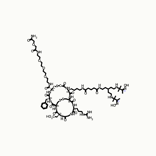 C/C(=N/O)C(C)(C)NCCC(CCNC(=O)CCCC(=O)NCCCC[C@@H]1NC(=O)CSC[C@@H](C(=O)NCCOCCOCCOCCNC(=O)COCC(N)=O)NC(=O)[C@H](Cc2ccccc2)NC(=O)[C@@H]2CSSC[C@H](NC1=O)C(=O)N[C@@H](CCCNC(=N)N)C(=O)NCC(=O)N[C@@H](CC(=O)O)C(=O)N2)CCNC(C)(C)/C(C)=N\O